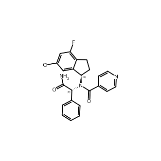 NC(=O)[C@@H](c1ccccc1)N(C(=O)c1ccncc1)[C@@H]1CCc2c(F)cc(Cl)cc21